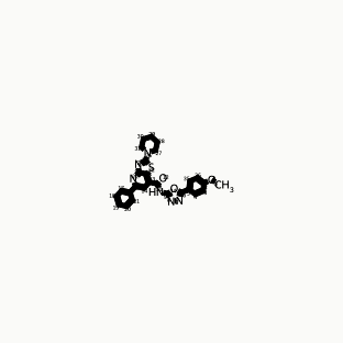 COc1ccc(-c2nnc(NC(=O)c3cc(-c4ccccc4)nc4nc(N5CCCCC5)sc34)o2)cc1